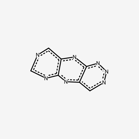 c1ncc2nc3nnncc3nc2n1